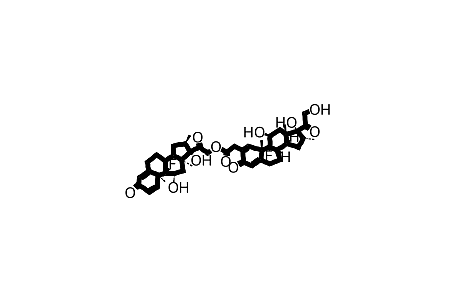 C[C@@H]1CC2C3CCC4=CC(=O)C=C[C@]4(C)[C@@]3(F)[C@@H](O)C[C@]2(C)[C@@]1(O)C(=O)COC(=O)CC1=C[C@@]2(C)C(=CC1=O)CC[C@H]1[C@@H]3C[C@@H](C)[C@](O)(C(=O)CO)[C@@]3(C)C[C@H](O)[C@@]12F